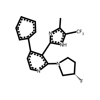 Cc1nc(-c2c(-c3ccccc3)ccnc2N2CC[C@H](F)C2)[nH]c1C(F)(F)F